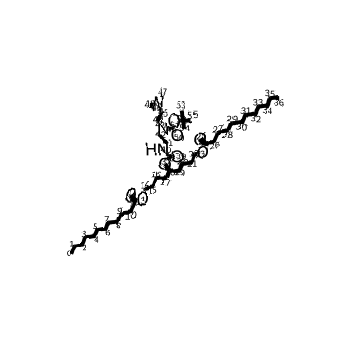 CCCCCCCCCCCC(=O)OCCCCC(CCCCOC(=O)CCCCCCCCCCC)OC(=O)NCCN(CCN(C)C)C(=O)OC(C)(C)C